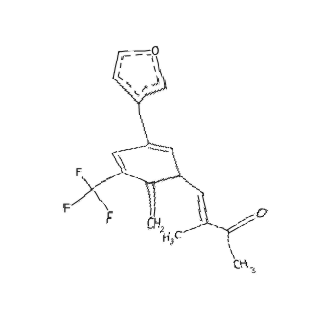 C=C1C(C(F)(F)F)=CC(c2ccoc2)=CC1/C=C(\C)C(C)=O